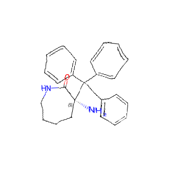 N[C@]1(C(c2ccccc2)(c2ccccc2)c2ccccc2)CCCCNC1=O